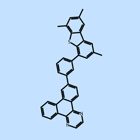 Cc1cc(C)c2sc3c(-c4cccc(-c5ccc6c(c5)c5ccccc5c5nccnc65)c4)cc(C)cc3c2c1